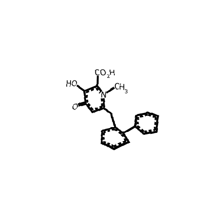 Cn1c(Cc2ccccc2-c2ccccc2)cc(=O)c(O)c1C(=O)O